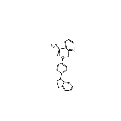 NC(=O)c1ccccc1COc1ccc(C2CCc3ccccc32)cc1